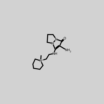 C[N+]1(CCNc2c(N)c(=O)n3n2CCC3)CCCCC1